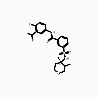 CC1COCC[C@]1(C)NS(=O)(=O)c1cccc(C(=O)Nc2ccc(F)c(C(F)F)c2)c1